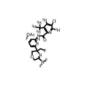 CC(=O)OF.[2H]c1nc(C(=O)Nc2cccc(C3(CF)COCC(N(F)F)=N3)n2)c(C([2H])([2H])[2H])c([2H])c1Cl